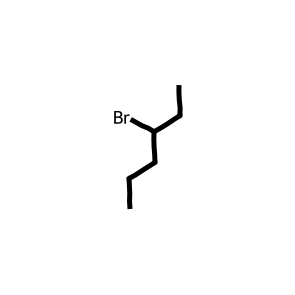 CCCC(Br)CC